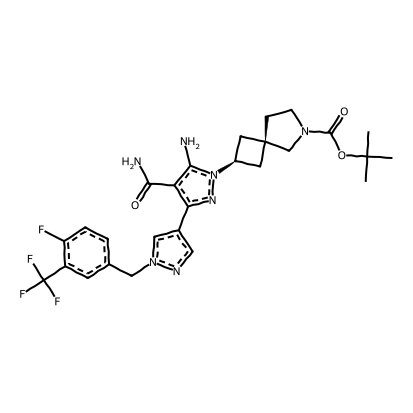 CC(C)(C)OC(=O)N1CC[C@]2(C1)C[C@H](n1nc(-c3cnn(Cc4ccc(F)c(C(F)(F)F)c4)c3)c(C(N)=O)c1N)C2